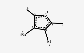 CCc1c(C)sc(C)c1C(C)CC